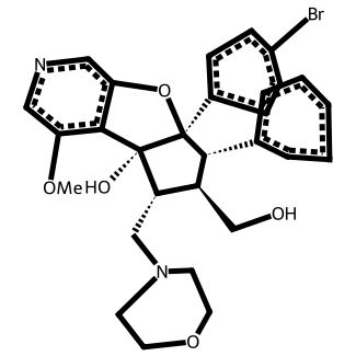 COc1cncc2c1[C@]1(O)[C@@H](CN3CCOCC3)[C@H](CO)[C@@H](c3ccccc3)[C@]1(c1ccc(Br)cc1)O2